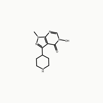 Cn1nc(C2CCNCC2)c2c(=O)n(O)cnc21